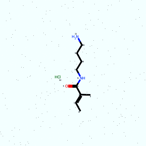 C/C=C(\C)C(=O)NCCCCN.Cl